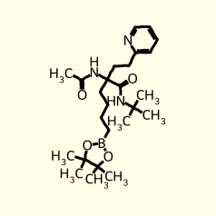 CC(=O)NC(CCCCB1OC(C)(C)C(C)(C)O1)(CCc1ccccn1)C(=O)NC(C)(C)C